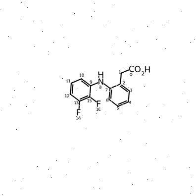 O=C(O)Cc1ccccc1Nc1cccc(F)c1F